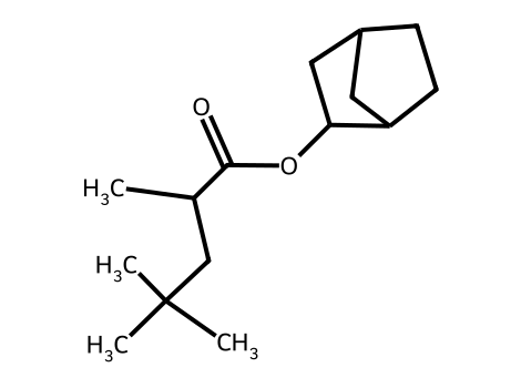 CC(CC(C)(C)C)C(=O)OC1CC2CCC1C2